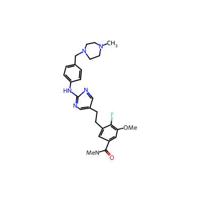 CNC(=O)c1cc(CCc2cnc(Nc3ccc(CN4CCN(C)CC4)cc3)nc2)c(F)c(OC)c1